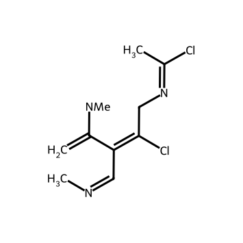 C=C(NC)C(/C=N\C)=C(/Cl)C/N=C(\C)Cl